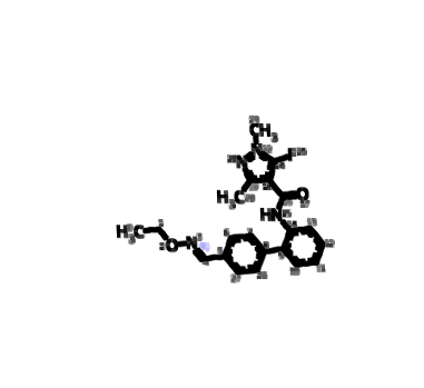 CCO/N=C/c1ccc(-c2ccccc2NC(=O)c2c(C)nn(C)c2F)cc1